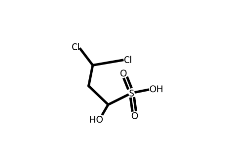 O=S(=O)(O)C(O)CC(Cl)Cl